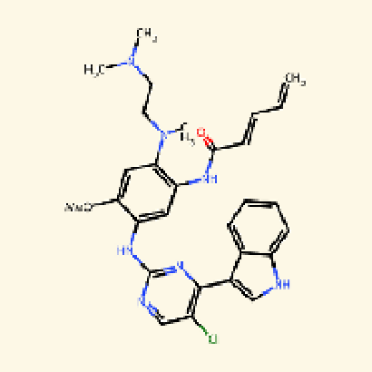 C=C/C=C/C(=O)Nc1cc(Nc2ncc(Cl)c(-c3c[nH]c4ccccc34)n2)c(OC)cc1N(C)CCN(C)C